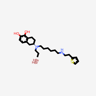 Br.Br.CCCN(CCCCCCNCCc1cccs1)[C@H]1CCc2c(ccc(O)c2O)C1